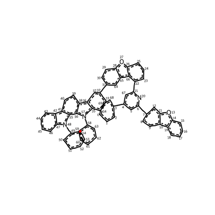 c1ccc(-c2cc(-c3ccc4c(c3)oc3ccccc34)nc(-c3cccc4oc5ccc(-c6ccc7c(c6)c6ccc8c9ccccc9n(-c9ccccc9)c8c6n7-c6ccccc6)cc5c34)c2)cc1